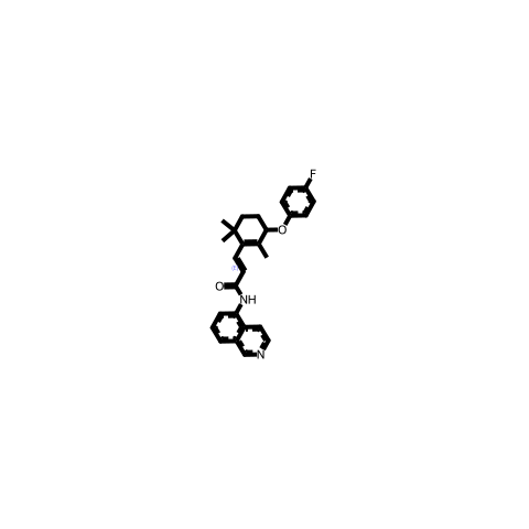 CC1=C(/C=C/C(=O)Nc2cccc3cnccc23)C(C)(C)CCC1Oc1ccc(F)cc1